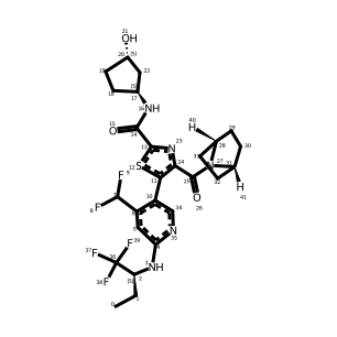 CC[C@H](Nc1cc(C(F)F)c(-c2sc(C(=O)N[C@H]3CC[C@H](O)C3)nc2C(=O)N2[C@H]3CC[C@@H]2CC3)cn1)C(F)(F)F